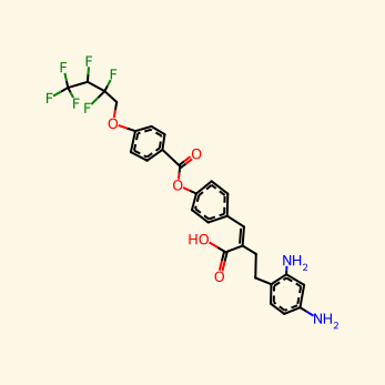 Nc1ccc(CCC(=Cc2ccc(OC(=O)c3ccc(OCC(F)(F)C(F)C(F)(F)F)cc3)cc2)C(=O)O)c(N)c1